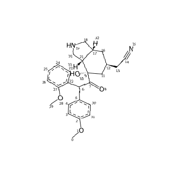 COc1ccc(C(C(=O)[C@]2(O)C[C@H](CC#N)C[C@H]3CNC[C@H]32)c2ccccc2OC)cc1